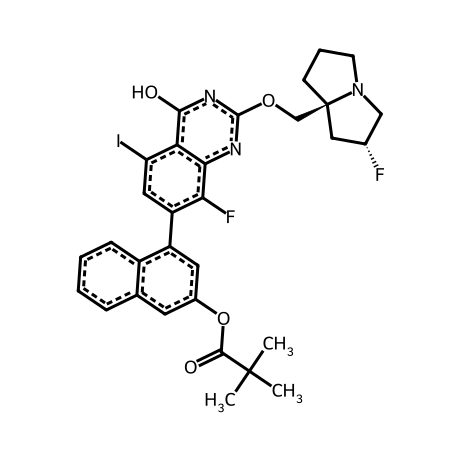 CC(C)(C)C(=O)Oc1cc(-c2cc(I)c3c(O)nc(OC[C@@]45CCCN4C[C@H](F)C5)nc3c2F)c2ccccc2c1